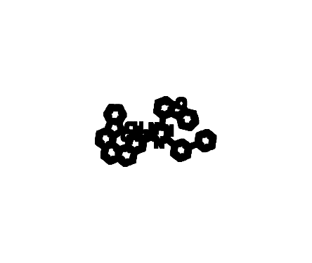 CC1(C)c2ccccc2-c2ccc3ccc4ccc5cc(-c6nc(-c7cccc(-c8ccccc8)c7)nc(-c7cccc8oc9ccccc9c78)n6)ccc5c4c3c21